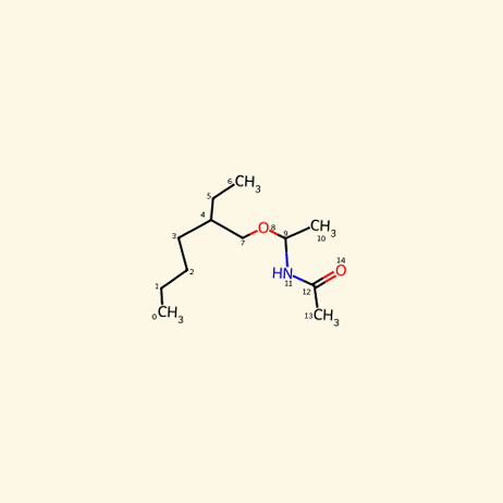 CCCCC(CC)COC(C)NC(C)=O